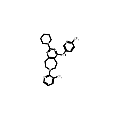 FC(F)(F)c1ccc(Nc2nc(N3CCCCC3)nc3c2CCN(c2ncccc2C(F)(F)F)CC3)cn1